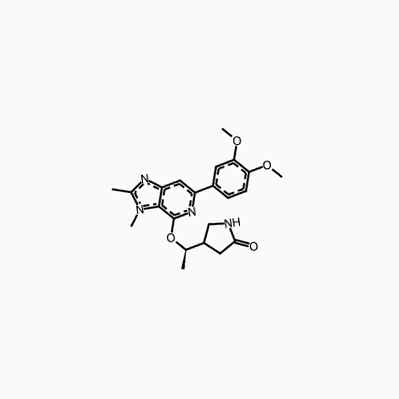 COc1ccc(-c2cc3nc(C)n(C)c3c(O[C@H](C)C3CNC(=O)C3)n2)cc1OC